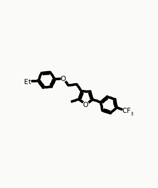 CCc1ccc(OCCc2cc(-c3ccc(C(F)(F)F)cc3)oc2C)cc1